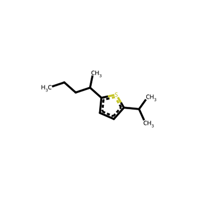 CCCC(C)c1ccc(C(C)C)s1